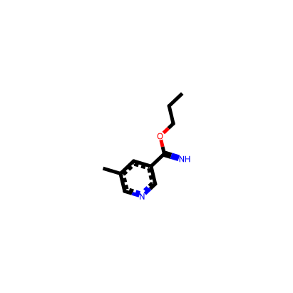 CCCOC(=N)c1cncc(C)c1